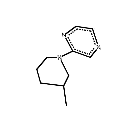 CC1CCCN(c2cn[c]cn2)C1